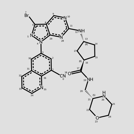 N#Cc1cc(-n2nc(Br)c3cnc(N[C@@H]4CC[C@@H](C(=O)NC[C@H]5COCCN5)C4)nc32)cc2cccnc12